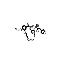 CCN(C[C@@H]1CNC[C@H]1CN(C(=O)c1ccc(OC)c(OCCCOC)c1)C(C)C)C(=O)CC1CCOCC1